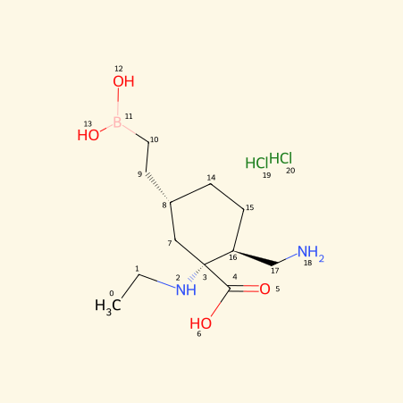 CCN[C@]1(C(=O)O)C[C@H](CCB(O)O)CC[C@H]1CN.Cl.Cl